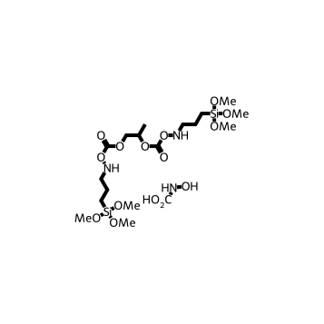 CO[Si](CCCNOC(=O)OCC(C)OC(=O)ONCCC[Si](OC)(OC)OC)(OC)OC.O=C(O)NO